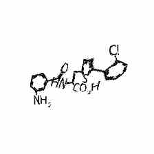 Nc1cccc(C(=O)NC(=Cc2ccc(-c3ccccc3Cl)s2)C(=O)O)c1